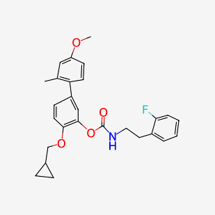 COc1ccc(-c2ccc(OCC3CC3)c(OC(=O)NCCc3ccccc3F)c2)c(C)c1